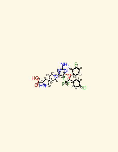 Nc1nc(OC(c2ccc(Cl)cc2-c2ccc(F)cc2)C(F)(F)F)cc(N2CCC3(CC2)CNC(C(=O)O)C3)n1